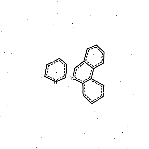 c1ccc2c(c1)cnc1ccccc12.c1ccncc1